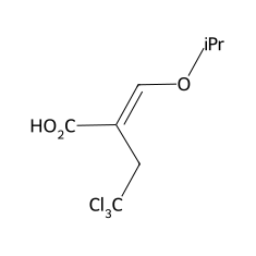 CC(C)OC=C(CC(Cl)(Cl)Cl)C(=O)O